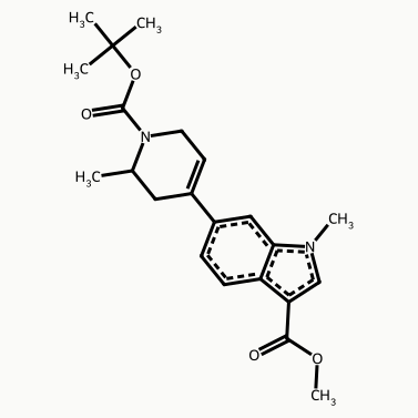 COC(=O)c1cn(C)c2cc(C3=CCN(C(=O)OC(C)(C)C)C(C)C3)ccc12